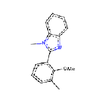 COc1c(C)cccc1-c1nc2ccccc2n1C